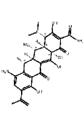 C=C(C)c1cc(N)c2c(c1O)C(=O)C1=C(O)[C@]3(O)C(=O)C(C(N)=O)=C(O)[C@@H](N(C)C)[C@@H]3[C@@H](O)[C@@H]1[C@H]2C